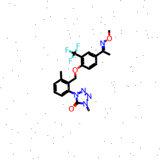 CON=C(C)c1ccc(OCc2c(C)cccc2-n2nnn(C)c2=O)c(C(F)(F)F)c1